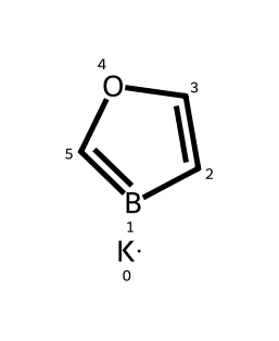 [K].b1ccoc1